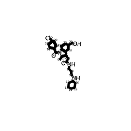 Cc1c(CC(=O)NCCCNC2CCCCC2)c2cc(CO)ccc2n1C(=O)c1ccc(Cl)cc1